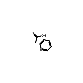 C1=C[CH]=[Tl][CH]=C1.CC(=O)O